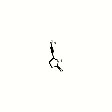 CC#CC1CCC(=O)N1